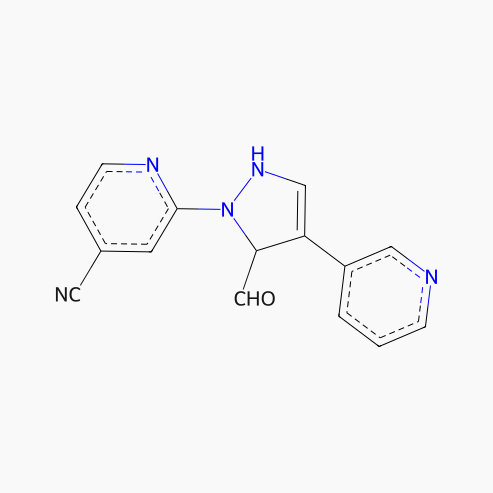 N#Cc1ccnc(N2NC=C(c3cccnc3)C2C=O)c1